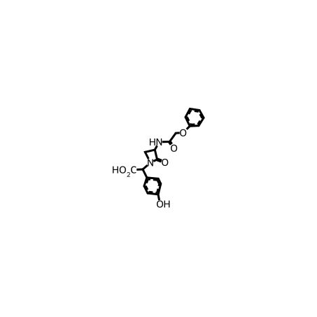 O=C(COc1ccccc1)NC1CN(C(C(=O)O)c2ccc(O)cc2)C1=O